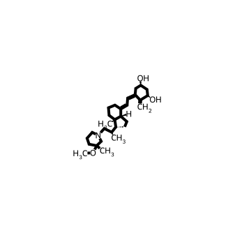 C=C1C(=CC=C2CCC[C@]3(C)[C@@H]([C@H](C)CN4CCCC(C)(OC)C4)CC[C@@H]23)C[C@@H](O)C[C@@H]1O